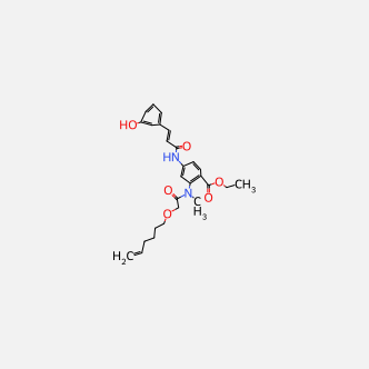 C=CCCCCOCC(=O)N(C)c1cc(NC(=O)C=Cc2cccc(O)c2)ccc1C(=O)OCC